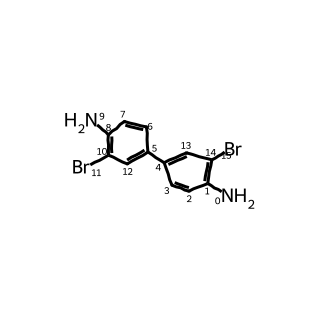 Nc1ccc(-c2ccc(N)c(Br)c2)cc1Br